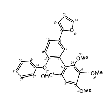 COc1cc(C=O)c(-c2cc(-c3ccco3)ccc2Oc2ccccc2)c(OC)c1OC